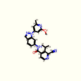 COc1cc(-n2ncc3ccc(NC(=O)c4ccnc(C#N)c4C(C)C)cc32)cc(C)n1